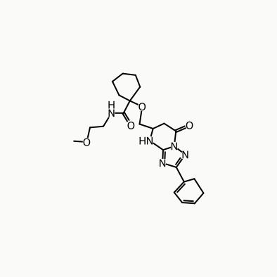 COCCNC(=O)C1(OCC2CC(=O)n3nc(C4=CC=CCC4)nc3N2)CCCCC1